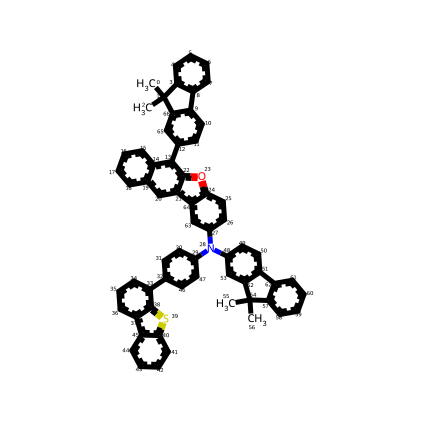 CC1(C)c2ccccc2-c2ccc(-c3c4ccccc4cc4c3oc3ccc(N(c5ccc(-c6cccc7c6sc6ccccc67)cc5)c5ccc6c(c5)C(C)(C)c5ccccc5-6)cc34)cc21